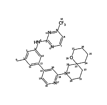 Cc1cc(Nc2nccc(C(F)(F)F)n2)cc(-c2ccnc(N3CCCC4(CCCCO4)C3)c2)c1